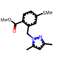 COC(=O)c1ccc(SC)cc1Cn1nc(C)cc1C